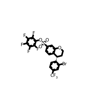 O=S(=O)(Oc1c(F)c(F)c(F)c(F)c1F)c1ccc2c(c1)OCC[C@@H]2c1ccc(C(F)(F)F)cc1Br